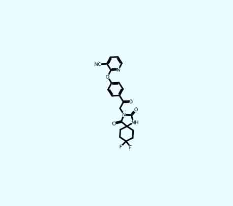 N#Cc1cccnc1Oc1ccc(C(=O)CN2C(=O)NC3(CCC(F)(F)CC3)C2=O)cc1